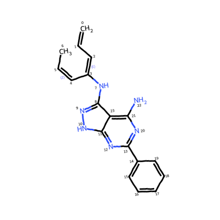 C=C/C=C(\C=C/C)Nc1n[nH]c2nc(-c3ccccc3)nc(N)c12